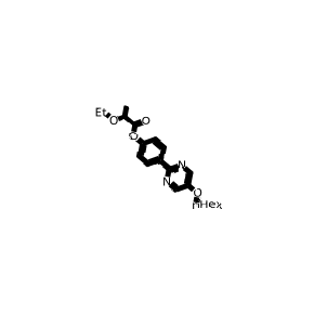 CCCCCCOc1cnc(-c2ccc(OC(=O)C(C)OCC)cc2)nc1